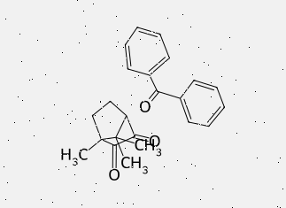 CC12CCC(C(=O)C1=O)C2(C)C.O=C(c1ccccc1)c1ccccc1